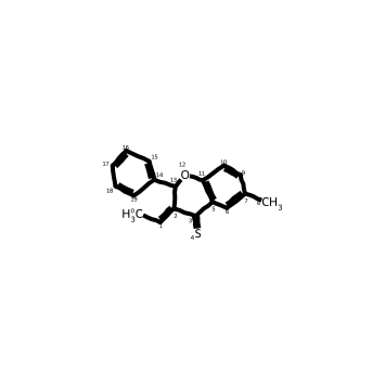 CC=C1C(=S)c2cc(C)ccc2OC1c1ccccc1